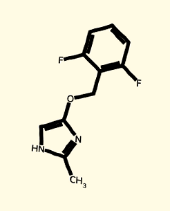 Cc1nc(OCc2c(F)cccc2F)c[nH]1